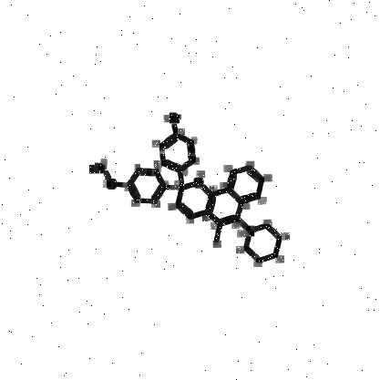 CCCOc1ccc(C2(c3ccc(Br)cc3)C=Cc3c(C)c(N4CCCCC4)c4ccccc4c3O2)cc1